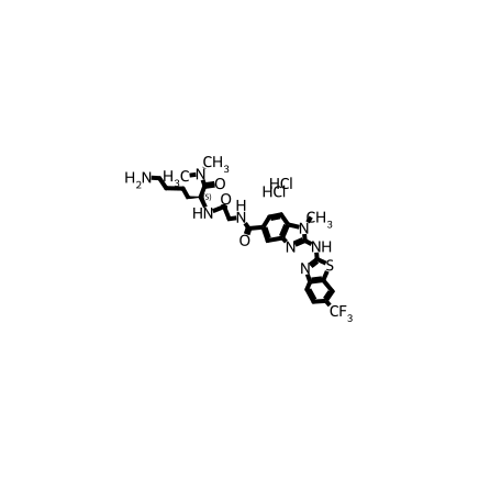 CN(C)C(=O)[C@H](CCCCN)NC(=O)CNC(=O)c1ccc2c(c1)nc(Nc1nc3ccc(C(F)(F)F)cc3s1)n2C.Cl.Cl